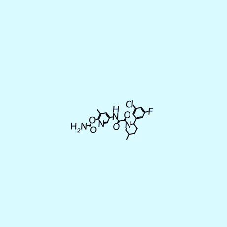 Cc1cc(NC(=O)C(=O)N2CC(C)CCC2c2cc(F)cc(Cl)c2)cnc1OC(N)=O